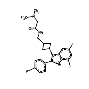 CN(C)CC(=O)NC[C@H]1C[C@@H](c2c(-c3ccc(F)cc3)[nH]c3c(F)cc(F)cc32)C1